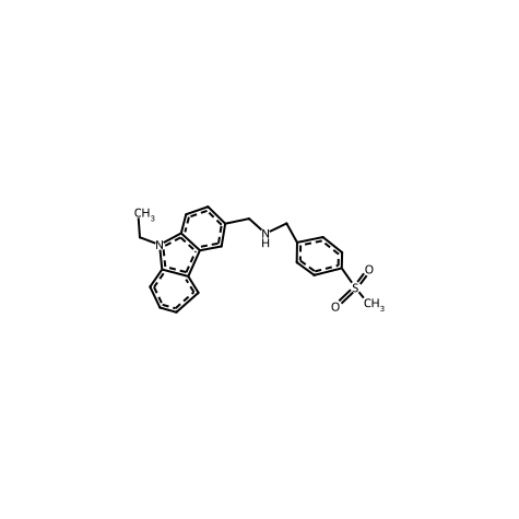 CCn1c2ccccc2c2cc(CNCc3ccc(S(C)(=O)=O)cc3)ccc21